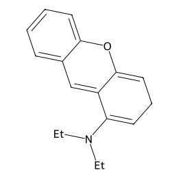 CCN(CC)C1=CCC=C2Oc3ccccc3C=C21